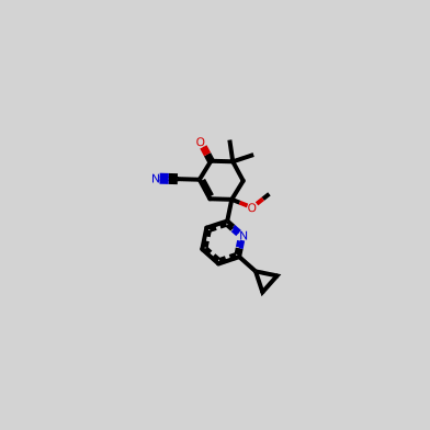 COC1(c2cccc(C3CC3)n2)C=C(C#N)C(=O)C(C)(C)C1